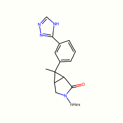 CCCCCCN1CC2C(C1=O)C2(C)c1cccc(-c2nnc[nH]2)c1